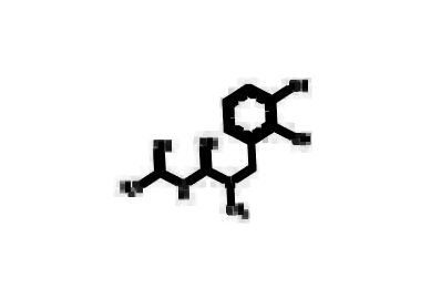 CN(Cc1cccc(O)c1O)C(=N)NC(=N)N